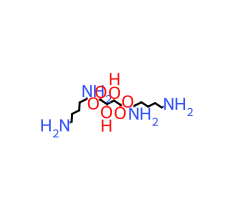 NCCCCC(N)OC(=O)C(O)C(O)C(=O)OC(N)CCCCN